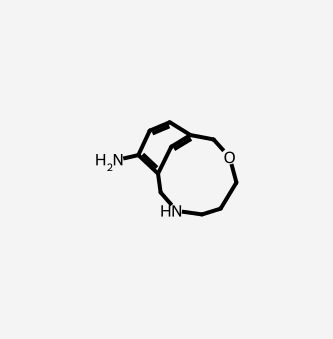 Nc1ccc2cc1CNCCCOC2